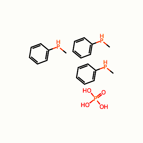 CPc1ccccc1.CPc1ccccc1.CPc1ccccc1.O=P(O)(O)O